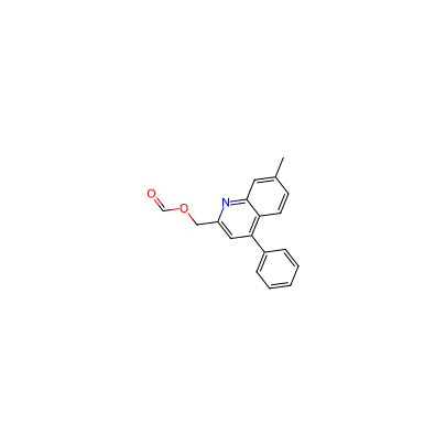 Cc1ccc2c(-c3ccccc3)cc(COC=O)nc2c1